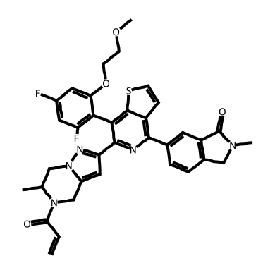 C=CC(=O)N1Cc2cc(-c3nc(-c4ccc5c(c4)C(=O)N(C)C5)c4ccsc4c3-c3c(F)cc(F)cc3OCCOC)nn2CC1C